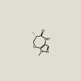 C[C@H]1COc2c(cnn2C)NC1=O